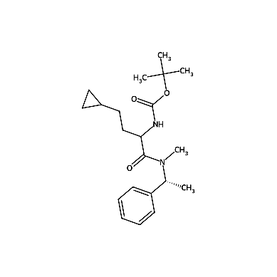 C[C@H](c1ccccc1)N(C)C(=O)C(CCC1CC1)NC(=O)OC(C)(C)C